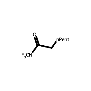 [CH2]CCCCCC(=O)NC(F)(F)F